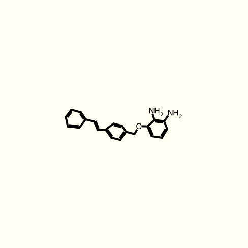 Nc1cccc(OCc2ccc(C=Cc3ccccc3)cc2)c1N